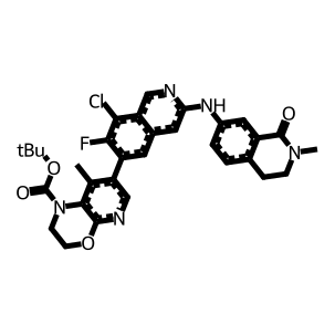 Cc1c(-c2cc3cc(Nc4ccc5c(c4)C(=O)N(C)CC5)ncc3c(Cl)c2F)cnc2c1N(C(=O)OC(C)(C)C)CCO2